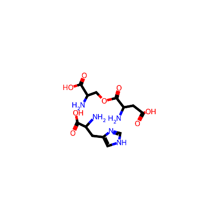 NC(COC(=O)C(N)CC(=O)O)C(=O)O.NC(Cc1c[nH]cn1)C(=O)O